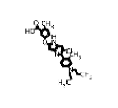 CCCN(CCC)c1ccc(-c2nc3cc(Oc4ccc(C)c(C(=O)O)c4)[nH]c3cc2Cl)c(C)c1